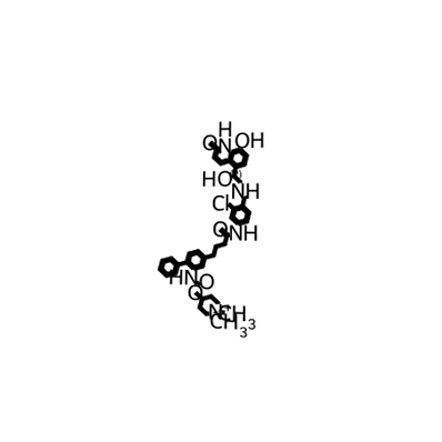 C[N+]1(C)CCC(OC(=O)Nc2cc(CCCC(=O)Nc3ccc(CNC[C@H](O)c4ccc(O)c5[nH]c(=O)ccc45)c(Cl)c3)ccc2-c2ccccc2)CC1